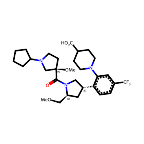 COC[C@@H]1C[C@@H](c2ccc(C(F)(F)F)cc2N2CCC(C(=O)O)CC2)CN1C(=O)[C@@]1(OC)CCN(C2CCCC2)C1